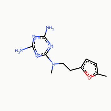 Cc1ccc(CCN(C)c2nc(N)nc(N)n2)o1